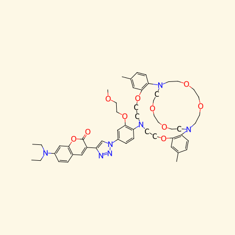 CCN(CC)c1ccc2cc(-c3cn(-c4ccc(N5CCOc6cc(C)ccc6N6CCOCCOCCN(CCOCCOCC6)c6ccc(C)cc6OCC5)c(OCCOC)c4)nn3)c(=O)oc2c1